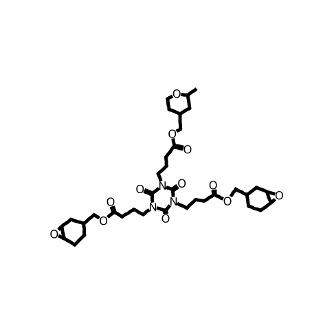 CC1CC(COC(=O)CCCn2c(=O)n(CCCC(=O)OCC3CCC4OC4C3)c(=O)n(CCCC(=O)OCC3CCC4OC4C3)c2=O)CCO1